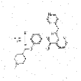 CN1CCC(COc2cc(NC(=O)c3cccnc3NCc3ccncc3)ccc2C(F)(F)C(F)(F)F)CC1